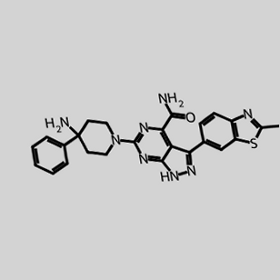 Cc1nc2ccc(-c3n[nH]c4nc(N5CCC(N)(c6ccccc6)CC5)nc(C(N)=O)c34)cc2s1